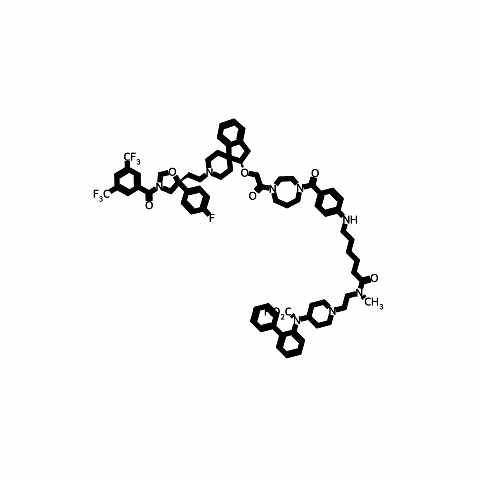 CN(CCN1CCC(N(C(=O)O)c2ccccc2-c2ccccc2)CC1)C(=O)CCCCCNc1ccc(C(=O)N2CCCN(C(=O)CO[C@H]3Cc4ccccc4C34CCN(CC[C@@]3(c5ccc(F)cc5)CN(C(=O)c5cc(C(F)(F)F)cc(C(F)(F)F)c5)CO3)CC4)CC2)cc1